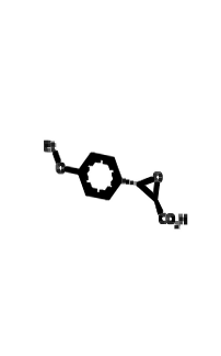 CCOc1ccc([C@@H]2O[C@H]2C(=O)O)cc1